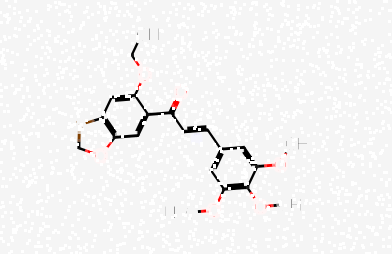 CCOc1cc2c(cc1C(=O)/C=C/c1cc(OC)c(OC)c(OC)c1)OCS2